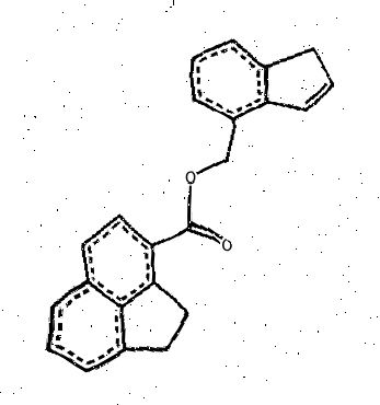 O=C(OCc1cccc2c1C=CC2)c1ccc2cccc3c2c1CC3